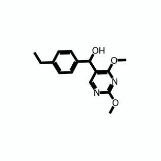 CCc1ccc(C(O)c2cnc(OC)nc2OC)cc1